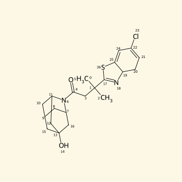 CC(C)(CC(=O)N1C2CC3CC1CC(O)(C3)C2)C1=NC2CC=C(Cl)C=C2S1